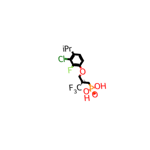 CC(C)c1ccc(OC[C@H](CP(=O)(O)O)C(F)(F)F)c(F)c1Cl